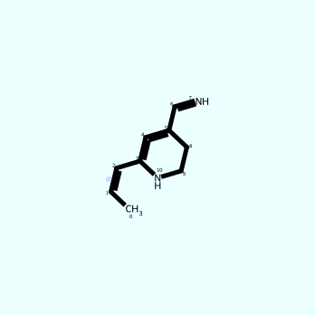 C/C=C\C1=C=C(C=N)CCN1